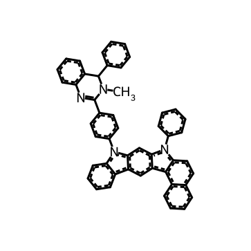 CN1C(c2ccc(-n3c4ccccc4c4cc5c6c7ccccc7ccc6n(-c6ccccc6)c5cc43)cc2)=Nc2ccccc2C1c1ccccc1